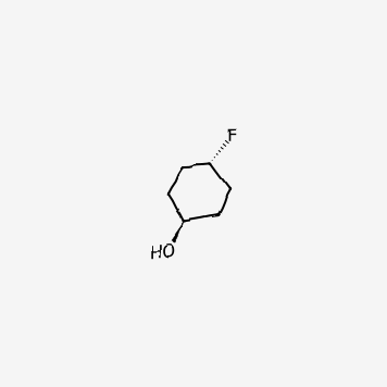 O[C@H]1CC[C@H](F)CC1